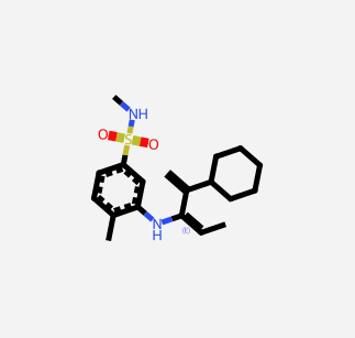 C=C(/C(=C\C)Nc1cc(S(=O)(=O)NC)ccc1C)C1CCCCC1